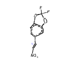 O=[N+]([O-])/C=C/c1ccc2c(c1)OC(F)(F)O2